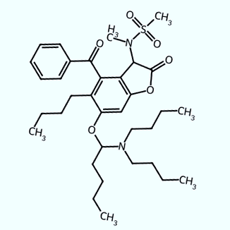 CCCCc1c(OC(CCCC)N(CCCC)CCCC)cc2c(c1C(=O)c1ccccc1)C(N(C)S(C)(=O)=O)C(=O)O2